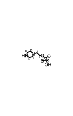 O=S(=O)(OO)OCCN1CCNCC1